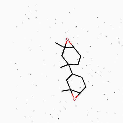 CC1(C2CCC3OC3(C)C2)CCC2OC2(C)C1